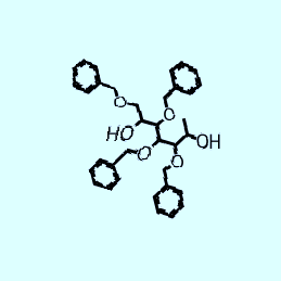 CC(O)C(OCc1ccccc1)C(OCc1ccccc1)C(OCc1ccccc1)C(O)COCc1ccccc1